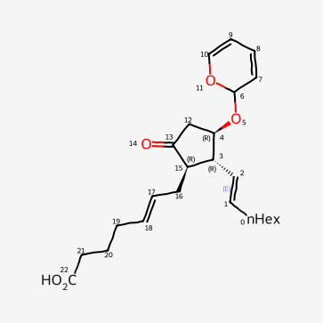 CCCCCC/C=C/[C@H]1[C@H](OC2C=CC=CO2)CC(=O)[C@@H]1CC=CCCCC(=O)O